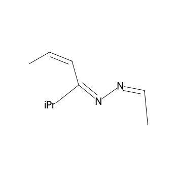 C\C=C/C(=N\N=C/C)C(C)C